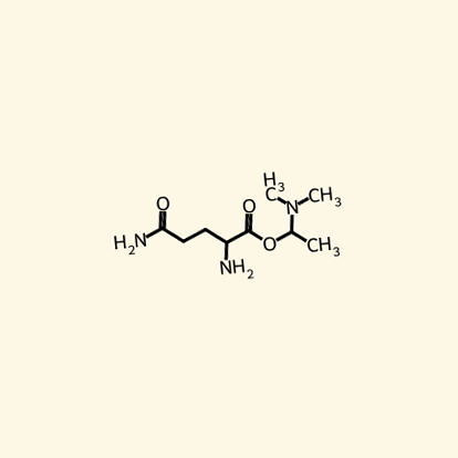 CC(OC(=O)C(N)CCC(N)=O)N(C)C